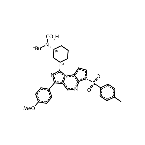 COc1ccc(-c2nc([C@H]3CCC[C@@H](N(C(=O)O)C(C)(C)C)C3)n3c2cnc2c3ccn2S(=O)(=O)c2ccc(C)cc2)cc1